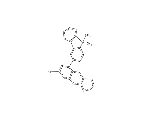 CC1(C)c2ccccc2-c2cc(-c3nc(Cl)nc4cc5ccccc5cc34)ccc21